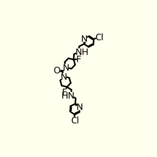 O=C(N1CCC(F)(CNCc2ccc(Cl)cn2)CC1)N1CCC(F)(CNCc2ccc(Cl)cn2)CC1